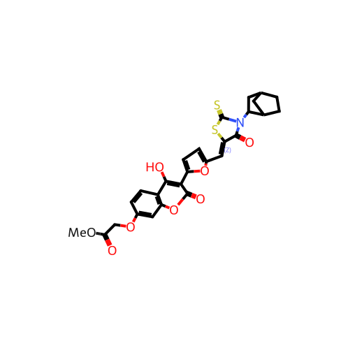 COC(=O)COc1ccc2c(O)c(-c3ccc(/C=C4\SC(=S)N(C5CC6CCC5C6)C4=O)o3)c(=O)oc2c1